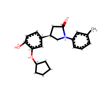 Cc1cccc(N2C[C@@H](c3ccc(O)c(OC4CCCC4)c3)CC2=O)c1